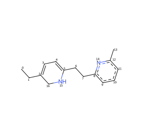 CCC1=CC=C(CCc2cccc(C)n2)NC1